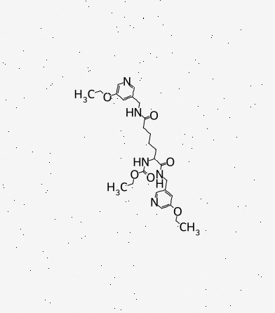 CCOC(=O)NC(CCCCC(=O)NCc1cncc(OCC)c1)C(=O)NCc1cncc(OCC)c1